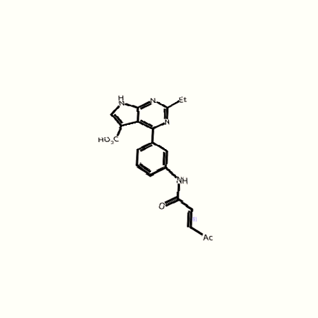 CCc1nc(-c2cccc(NC(=O)/C=C/C(C)=O)c2)c2c(C(=O)O)c[nH]c2n1